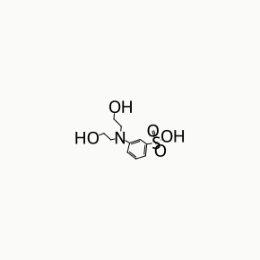 O=S(=O)(O)c1cccc(N(CCO)CCO)c1